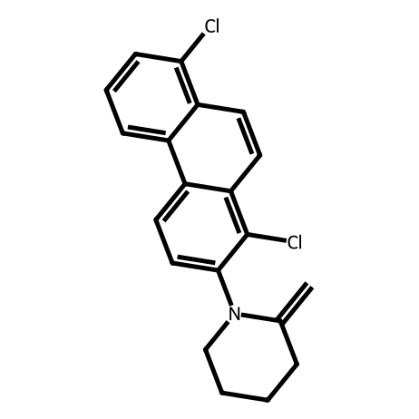 C=C1CCCCN1c1ccc2c(ccc3c(Cl)cccc32)c1Cl